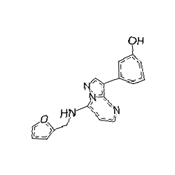 Oc1cccc(-c2cnn3c(NCc4ccco4)ccnc23)c1